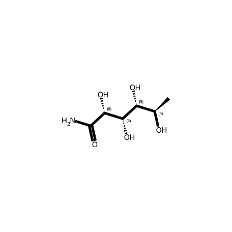 C[C@@H](O)[C@@H](O)[C@H](O)[C@@H](O)C(N)=O